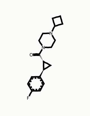 O=C([C@@H]1C[C@H]1c1ccc(F)cc1)N1CCN(C2CCC2)CC1